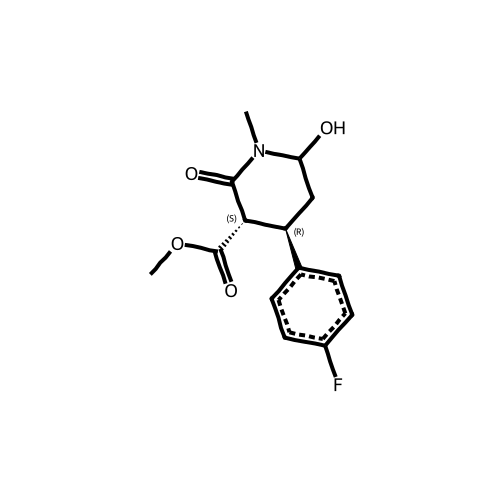 COC(=O)[C@@H]1C(=O)N(C)C(O)C[C@H]1c1ccc(F)cc1